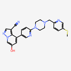 CSc1ccc(CN2CCN(c3ccc(-c4cc(O)cn5ncc(C#N)c45)cn3)CC2)nc1